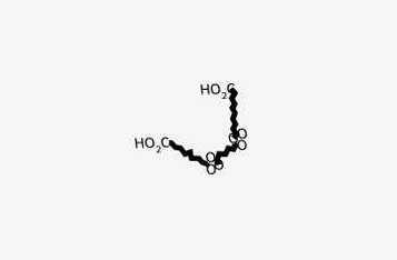 O=C(O)CCCCCCCCC(=O)OC(=O)CCCCC(=O)OC(=O)CCCCCCCCC(=O)O